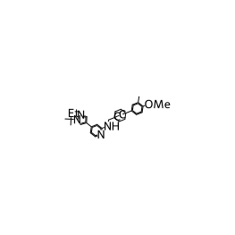 CCC(C)(C)n1cc(-c2ccnc(NCC34CCC(c5ccc(OC)c(C)c5)(CC3)CC4)c2)cn1